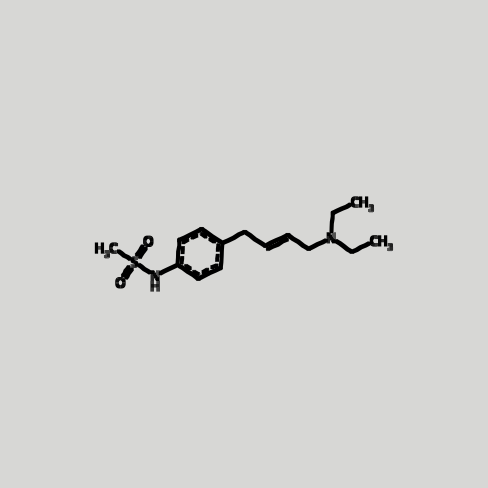 CCN(CC)CC=CCc1ccc(NS(C)(=O)=O)cc1